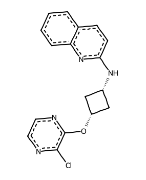 Clc1nccnc1O[C@H]1C[C@@H](Nc2ccc3ccccc3n2)C1